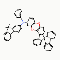 CC1(C)c2ccccc2-c2ccc(N(c3ccccc3)c3ccc4c(c3)Oc3c(ccc5c3-c3ccccc3C53C5=CC=CCC5c5ccccc53)O4)cc21